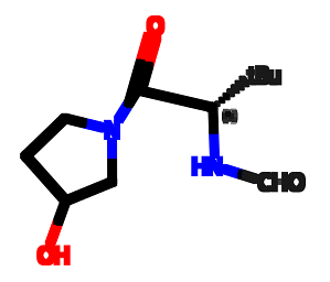 CC(C)(C)[C@H](NC=O)C(=O)N1CCC(O)C1